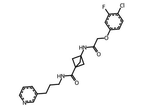 O=C(COc1ccc(Cl)c(F)c1)NC12CC(C(=O)NCCCc3cccnc3)(C1)C2